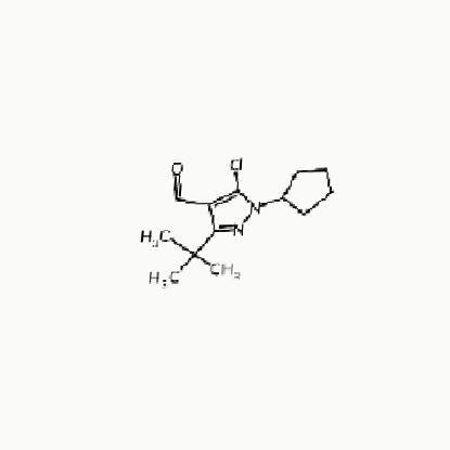 CC(C)(C)c1nn(C2CCCC2)c(Cl)c1C=O